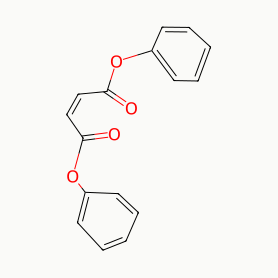 O=C(/C=C\C(=O)Oc1ccccc1)Oc1ccccc1